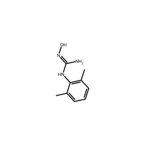 Cc1cccc(C)c1N/C(N)=N/O